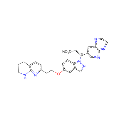 O=C(O)C[C@@H](c1cnc2nccnc2c1)n1ncc2cc(OCCc3ccc4c(n3)NCCC4)ccc21